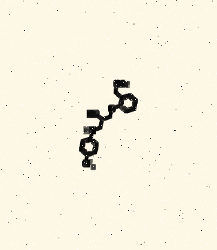 CC(=O)OCc1ccccc1OCC(O)CNc1ccc(C(F)(F)F)cc1